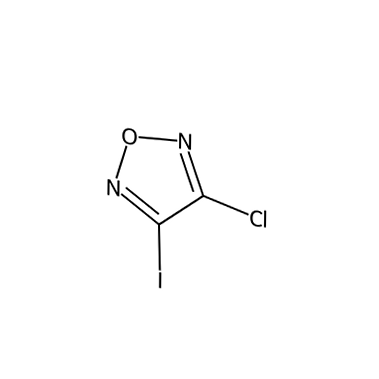 Clc1nonc1I